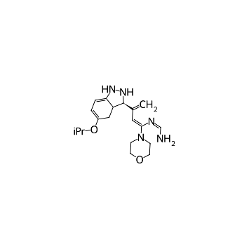 C=C(/C=C(\N=C/N)N1CCOCC1)[C@@H]1NNC2=CC=C(OC(C)C)CC21